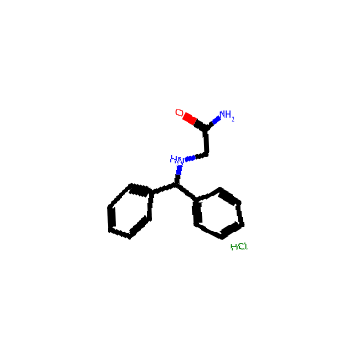 Cl.NC(=O)CNC(c1ccccc1)c1ccccc1